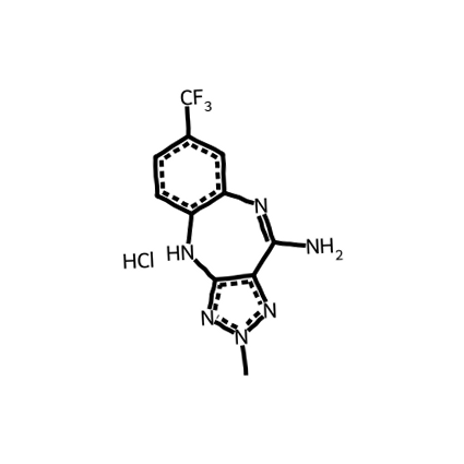 Cl.Cn1nc2c(n1)C(N)=Nc1cc(C(F)(F)F)ccc1N2